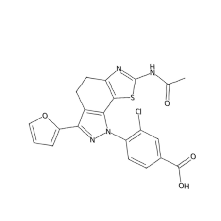 CC(=O)Nc1nc2c(s1)-c1c(c(-c3ccco3)nn1-c1ccc(C(=O)O)cc1Cl)CC2